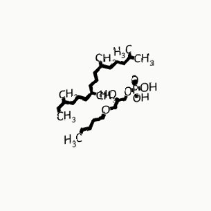 CCC(C)CCCC(C)CCCC(C)CCCC(C)C.CCCCCOCC(O)COP(=O)(O)O